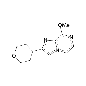 COc1nccn2cc(C3CCOCC3)nc12